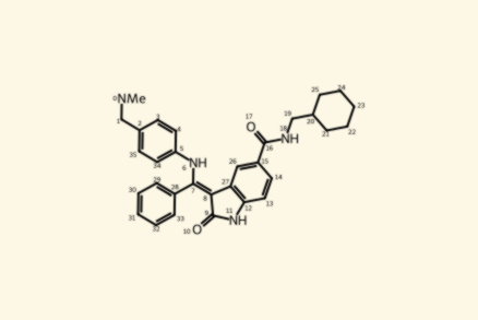 CNCc1ccc(NC(=C2C(=O)Nc3ccc(C(=O)NCC4CCCCC4)cc32)c2ccccc2)cc1